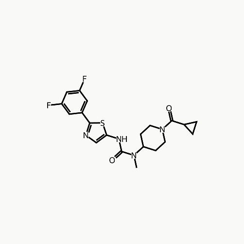 CN(C(=O)Nc1cnc(-c2cc(F)cc(F)c2)s1)C1CCN(C(=O)C2CC2)CC1